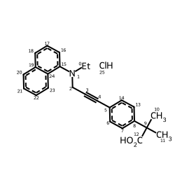 CCN(CC#Cc1ccc(C(C)(C)C(=O)O)cc1)c1cccc2ccccc12.Cl